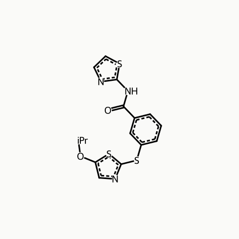 CC(C)Oc1cnc(Sc2cccc(C(=O)Nc3nccs3)c2)s1